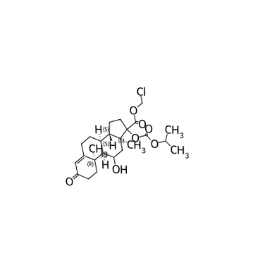 CC(C)OC(=O)OC1(C(=O)OCCl)CC[C@H]2[C@@H]3CCC4=CC(=O)CC[C@]4(C)[C@@H]3C(O)C[C@@]21C